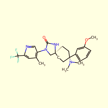 COc1cccc([C@]2(N(C)C)CC[C@]3(CC2)CN(c2cnc(C(F)(F)F)cc2C)C(=O)N3)c1